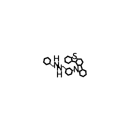 c1ccc(CNNCc2cccc(-n3c4ccccc4c4ccc5sc6ccccc6c5c43)c2)cc1